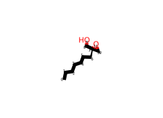 CCCCCCC[C@]1(CO)CO1